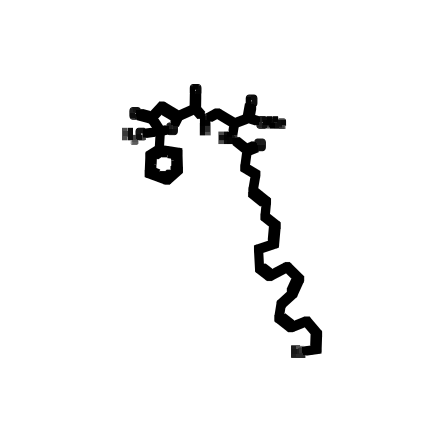 CC/C=C\C/C=C\C/C=C\C/C=C\C/C=C\CC=CCCC(=O)NC(CNC(=O)C1=CC(=O)C(C)(c2ccccc2)O1)C(=O)OC